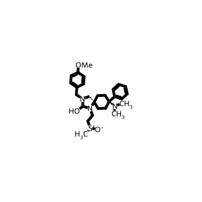 COc1ccc(CN2C[C@]3(CC[C@](c4ccccc4)(N(C)C)CC3)N(CC[S+](C)[O-])C2O)cc1